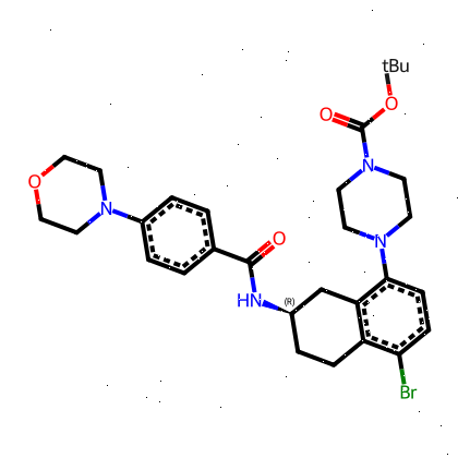 CC(C)(C)OC(=O)N1CCN(c2ccc(Br)c3c2C[C@H](NC(=O)c2ccc(N4CCOCC4)cc2)CC3)CC1